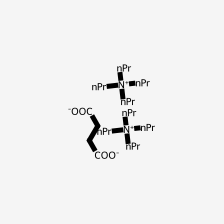 CCC[N+](CCC)(CCC)CCC.CCC[N+](CCC)(CCC)CCC.O=C([O-])CCC(=O)[O-]